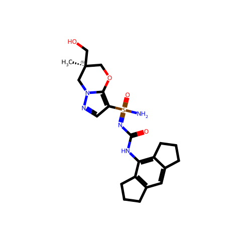 C[C@]1(CO)COc2c(S(N)(=O)=NC(=O)Nc3c4c(cc5c3CCC5)CCC4)cnn2C1